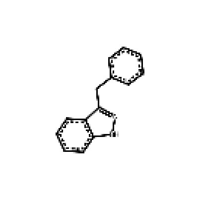 B1N=C(Cc2ccccc2)c2ccccc21